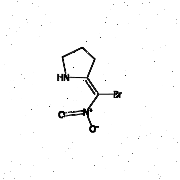 O=[N+]([O-])C(Br)=C1CCCN1